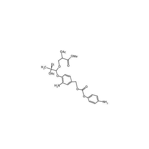 CC[C@](C)(OC(C)=O)C(OCC(OC(C)=O)C(=O)OC)Oc1ccc(COC(=O)Oc2ccc(N)cc2)cc1N